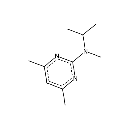 Cc1cc(C)nc(N(C)C(C)C)n1